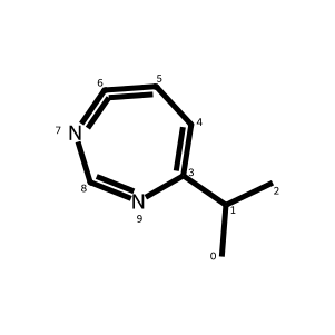 CC(C)C1=CC=C=NC=N1